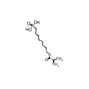 C=C(C)C(=O)OCCCCCCCCP(=O)(O)O